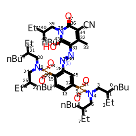 CCCCC(CC)CN(CC(CC)CCCC)S(=O)(=O)c1ccc(S(=O)(=O)N(CC(CC)CCCC)CC(CC)CCCC)c(/N=N/c2c(C)c(C#N)c(=O)n(CC(CC)CCCC)c2O)c1